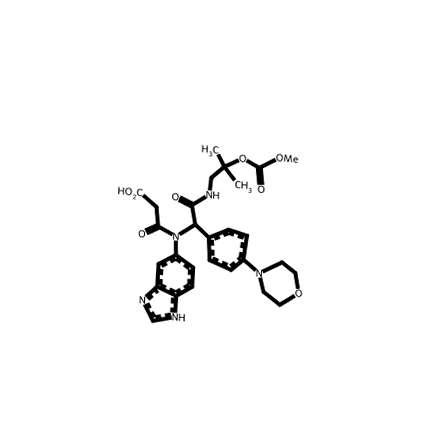 COC(=O)OC(C)(C)CNC(=O)C(c1ccc(N2CCOCC2)cc1)N(C(=O)CC(=O)O)c1ccc2[nH]cnc2c1